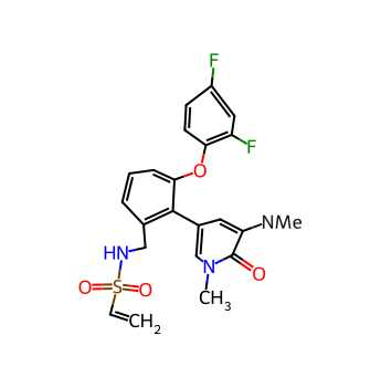 C=CS(=O)(=O)NCc1cccc(Oc2ccc(F)cc2F)c1-c1cc(NC)c(=O)n(C)c1